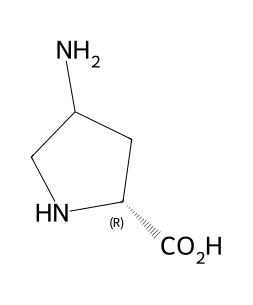 NC1CN[C@@H](C(=O)O)C1